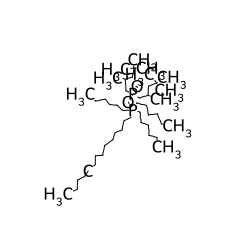 CCCCCCCCCCCCCCP(CCCCCC)(CCCCCC)(CCCCCC)OP(=O)(CC(C)CC(C)(C)C)CC(C)CC(C)(C)C